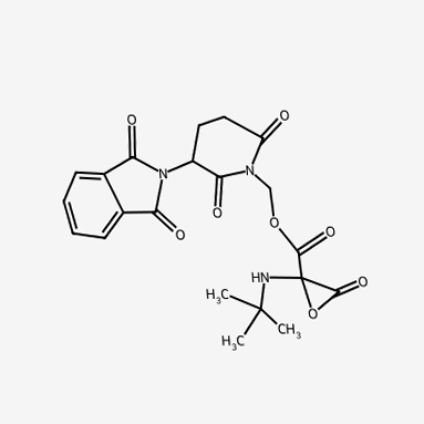 CC(C)(C)NC1(C(=O)OCN2C(=O)CCC(N3C(=O)c4ccccc4C3=O)C2=O)OC1=O